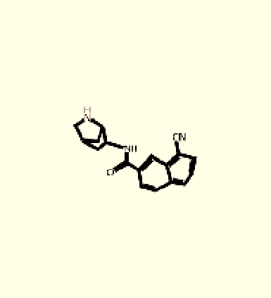 N#Cc1cccc2ccc(C(=O)NC3CC4CNC3C4)cc12